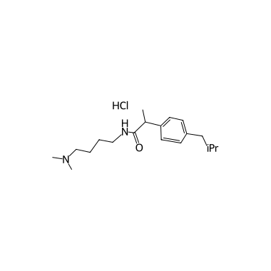 CC(C)Cc1ccc(C(C)C(=O)NCCCCN(C)C)cc1.Cl